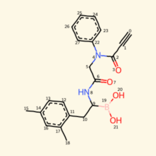 C#CC(=O)N(CC(=O)NC(Cc1ccc(C)cc1C)B(O)O)c1ccccc1